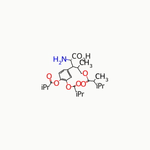 CC(C)C(=O)Oc1ccc(C(C(C)COC(=O)C(C)C(C)C)[C@H](N)C(=O)O)cc1OC(=O)C(C)C